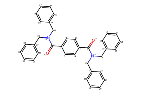 O=C(c1ccc(C(=O)N(Cc2ccccc2)Cc2ccccc2)cc1)N(Cc1ccccc1)Cc1ccccc1